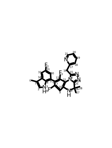 Cc1c[nH]c2c(-c3c(F)cc4c(c3F)-n3c(Cc5ccccn5)nnc3C(C)(C)N4)cc(F)cc12